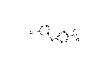 O=[N+]([O-])c1ccc(Sc2cccc(Cl)c2)cc1